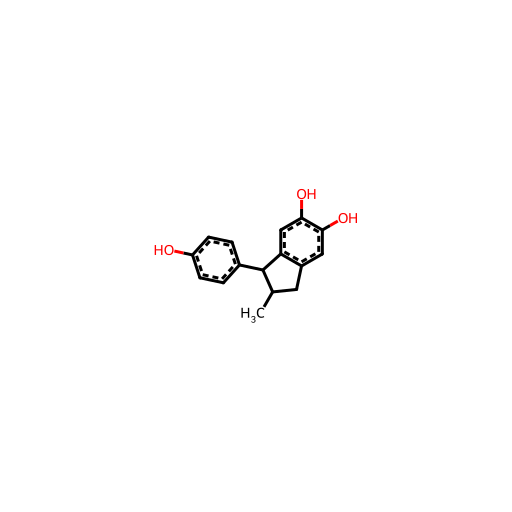 CC1Cc2cc(O)c(O)cc2C1c1ccc(O)cc1